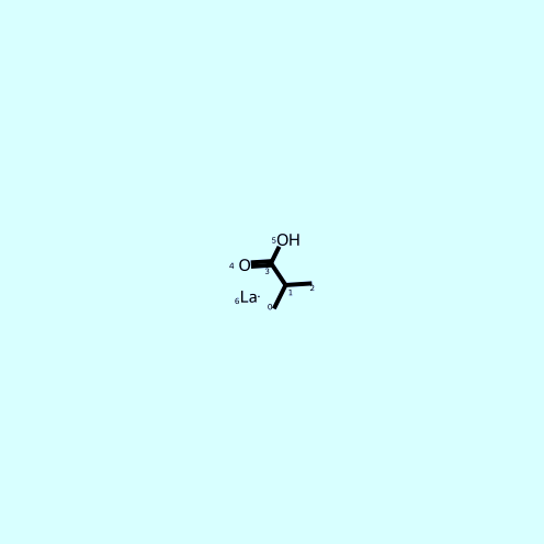 CC(C)C(=O)O.[La]